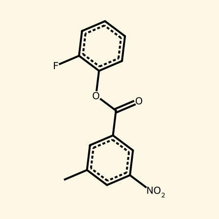 Cc1cc(C(=O)Oc2ccccc2F)cc([N+](=O)[O-])c1